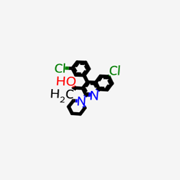 C=C(O)c1c(N2CCCCC2)nc2ccc(Cl)cc2c1-c1cccc(Cl)c1